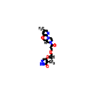 C[Si@@H](COCCC(=O)N1CCN2c3ncc(C(F)(F)F)cc3OC[C@@H]2C1)Oc1cn[nH]c(=O)c1C(F)(F)F